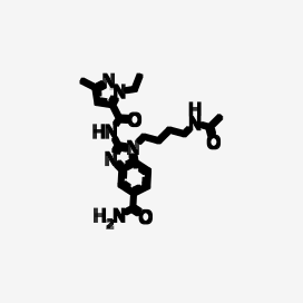 CCn1nc(C)cc1C(=O)Nc1nc2cc(C(N)=O)ccc2n1CCCCNC(C)=O